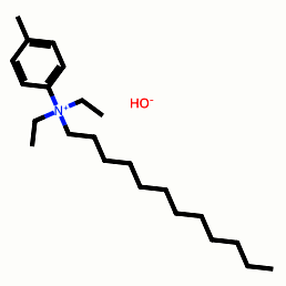 CCCCCCCCCCCC[N+](CC)(CC)c1ccc(C)cc1.[OH-]